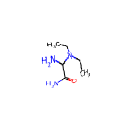 CCN(CC)C(N)C(N)=O